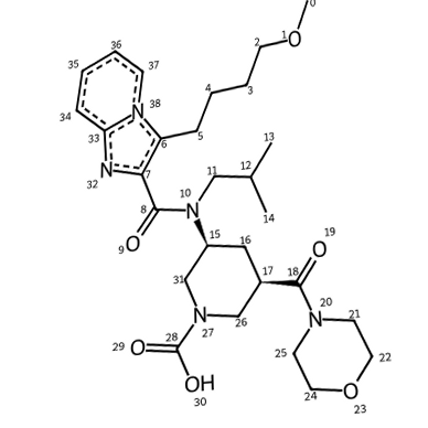 COCCCCc1c(C(=O)N(CC(C)C)[C@H]2C[C@@H](C(=O)N3CCOCC3)CN(C(=O)O)C2)nc2ccccn12